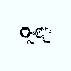 CCS[CH2][Sn+]([CH2]N)[c]1ccccc1.C[O-]